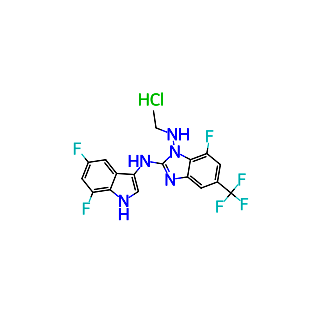 CCNn1c(Nc2c[nH]c3c(F)cc(F)cc23)nc2cc(C(F)(F)F)cc(F)c21.Cl